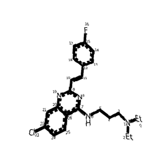 CCN(CC)CCCNc1nc(/C=C/c2ccc(F)cc2)nc2cc(Cl)ccc12